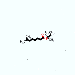 CCC(C)(C)OC(=O)CCCCCC(C)C